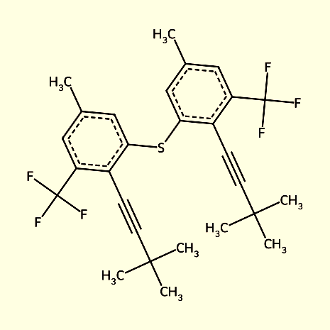 Cc1cc(Sc2cc(C)cc(C(F)(F)F)c2C#CC(C)(C)C)c(C#CC(C)(C)C)c(C(F)(F)F)c1